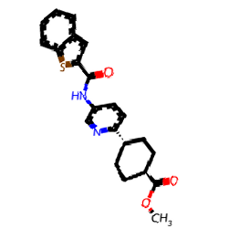 COC(=O)[C@H]1CC[C@H](c2ccc(NC(=O)c3cc4ccccc4s3)cn2)CC1